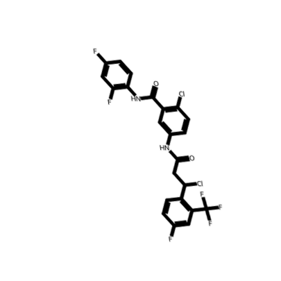 O=C(CC(Cl)c1ccc(F)cc1C(F)(F)F)Nc1ccc(Cl)c(C(=O)Nc2ccc(F)cc2F)c1